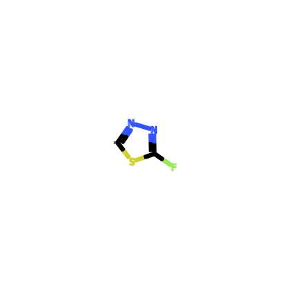 Fc1nn[c]s1